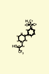 CS(=O)(=O)c1cccc(C2CCCN(C[C@H](O)C(F)(F)F)C2)c1